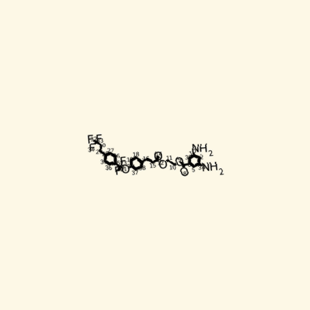 Nc1cc(N)cc(C(=O)OCCOC(=O)C=Cc2ccc(OC(F)(F)c3ccc(CCC(F)(F)F)cc3)cc2)c1